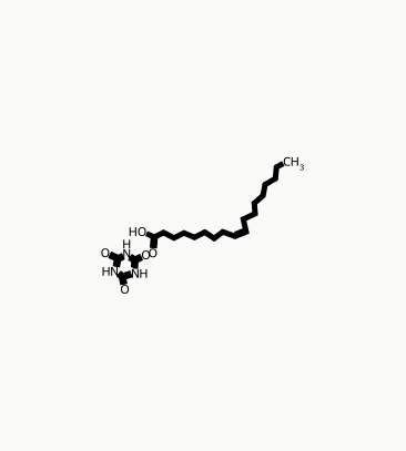 CCCCCCCC/C=C\CCCCCCCC(=O)O.O=c1[nH]c(=O)[nH]c(=O)[nH]1